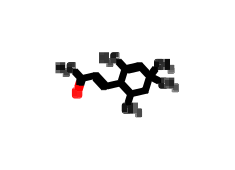 CC(=O)C=CC1C(C)=CC(C)(C)CC1C